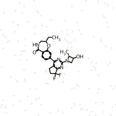 CCC1CNC(=O)c2ccc(-c3nc(N4CC(O)[C@@H]4C)nc4c3CCC4(F)F)cc2O1